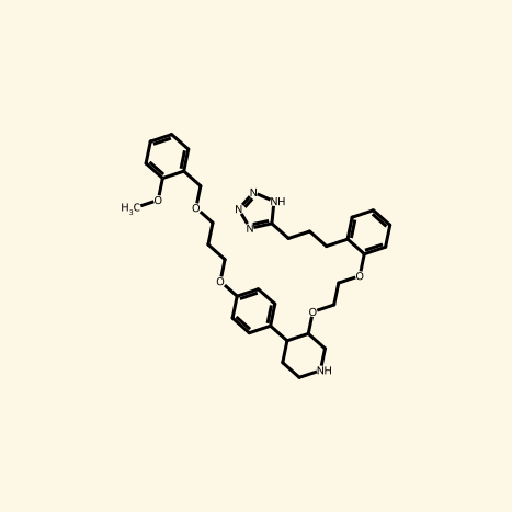 COc1ccccc1COCCCOc1ccc(C2CCNCC2OCCOc2ccccc2CCCc2nnn[nH]2)cc1